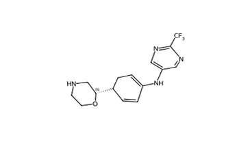 FC(F)(F)c1ncc(NC2=CCC([C@H]3CNCCO3)C=C2)cn1